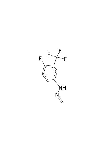 C=NNc1ccc(F)c(C(F)(F)F)c1